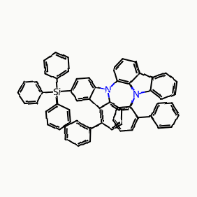 c1ccc(-c2ccccc2-n2c3ccccc3c3cccc(-n4c5ccc([Si](c6ccccc6)(c6ccccc6)c6ccccc6)cc5c5c(-c6ccccc6)cccc54)c32)cc1